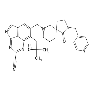 CC(C)(C)Cc1c(CN2CCCC3(CCN(Cc4ccncc4)C3=O)C2)cc2c3c(nc(C#N)nc13)N=C2